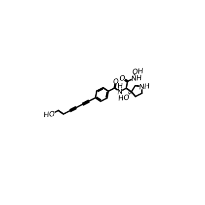 O=C(NC(C(=O)NO)[C@]1(O)CCNC1)c1ccc(C#CC#CCCO)cc1